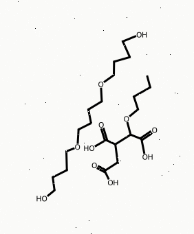 CCCCOC(C(=O)O)C(CC(=O)O)C(=O)O.OCCCCOCCCCOCCCCO